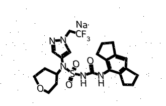 O=C(Nc1c2c(cc3c1CCC3)CCC2)NS(=O)(=O)N(c1cnn(CC(F)(F)F)c1)C1CCOCC1.[Na]